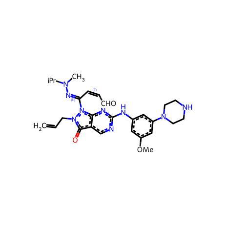 C=CCn1c(=O)c2cnc(Nc3cc(OC)cc(N4CCNCC4)c3)nc2n1C(/C=C\C=O)=N/N(C)C(C)C